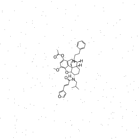 COc1cc(OC(C)=O)c2c3c1O[C@@H]1[C@@H](N(CC(C)C)C(=O)C=Cc4ccoc4)CC[C@H]4[C@@H](C2)N(CCc2ccccc2)CC[C@]314